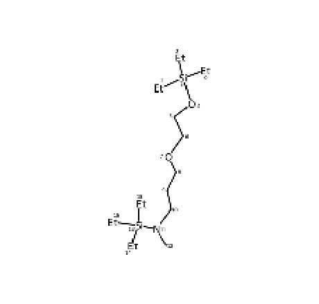 CC[Si](CC)(CC)OCCOCCCN(C)[Si](CC)(CC)CC